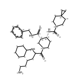 NCCCCC(NC1CCCCC1)C(=O)N1CC[C@@H](NC(=O)N2CCC3(CC2)CC3)[C@@H](C(=O)NCc2ccccc2)C1